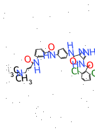 CN(C)CC=CC(=O)Nc1cccc(C(=O)Nc2ccc(NC(=O)c3n[nH]cc3NC(=O)c3c(Cl)cccc3Cl)cc2)c1